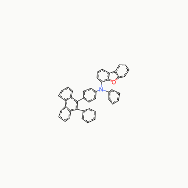 c1ccc(-c2c(-c3ccc(N(c4ccccc4)c4cccc5c4oc4ccccc45)cc3)c3ccccc3c3ccccc23)cc1